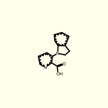 O=C(O)c1ncccc1N1CCc2ccccc21